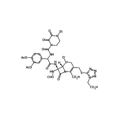 CCN1CCN(C(=O)NC(C(=O)N[C@]2(NC=O)C(=O)N3C(C(=O)O)=C(CSc4nnnn4CC(=O)O)C[S+]([O-])[C@H]32)c2ccc(OC(C)=O)c(OC(C)=O)c2)C(=O)C1=O